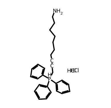 Cl.Cl.NCCCCCCCCCC[PH](c1ccccc1)(c1ccccc1)c1ccccc1